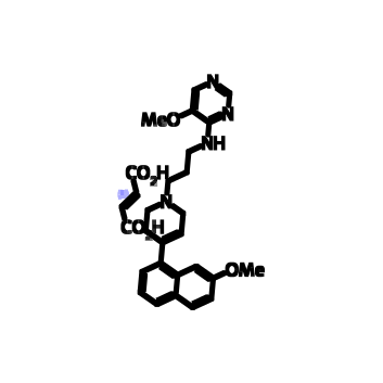 COc1ccc2cccc(C3=CCN(CCCNc4ncncc4OC)CC3)c2c1.O=C(O)/C=C/C(=O)O